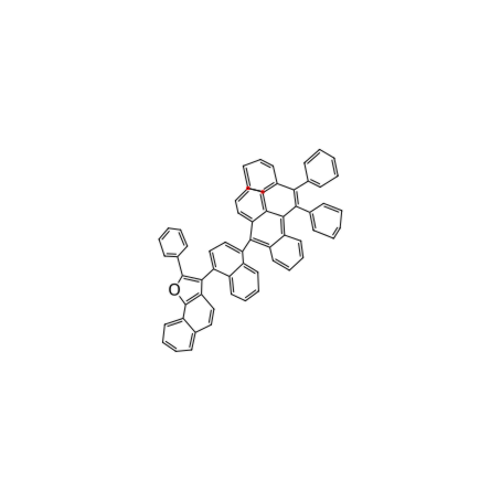 c1ccc(C(=C(c2ccccc2)c2c3ccccc3c(-c3ccc(-c4c(-c5ccccc5)oc5c4ccc4ccccc45)c4ccccc34)c3ccccc23)c2ccccc2)cc1